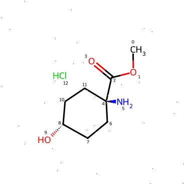 COC(=O)[C@]1(N)CC[C@H](O)CC1.Cl